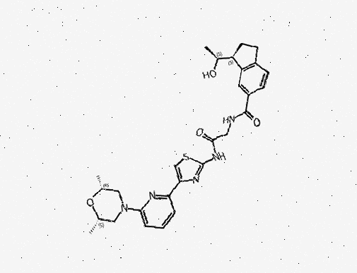 C[C@@H]1CN(c2cccc(-c3csc(NC(=O)CNC(=O)c4ccc5c(c4)[C@@H]([C@H](C)O)CC5)n3)n2)C[C@H](C)O1